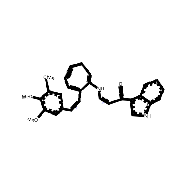 COc1cc(/C=C\C2=CC=CCC=C2N/C=C\C(=O)c2c[nH]c3ccccc23)cc(OC)c1OC